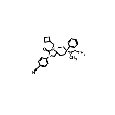 CCN(C)[C@]1(c2ccccc2)CC[C@]2(CC1)CN(c1ccc(C#N)cc1)C(=O)N2CC1CCC1